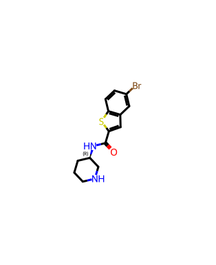 O=C(N[C@@H]1CCCNC1)c1cc2cc(Br)ccc2s1